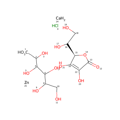 Cl.O=C(O)C(O)C(O)C(O)C(O)CO.O=C1O[C@H](C(O)CO)C(O)=C1O.[CaH2].[Zn]